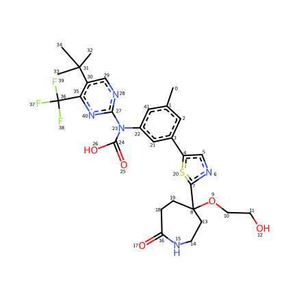 Cc1cc(-c2cnc(C3(OCCO)CCNC(=O)CC3)s2)cc(N(C(=O)O)c2ncc(C(C)(C)C)c(C(F)(F)F)n2)c1